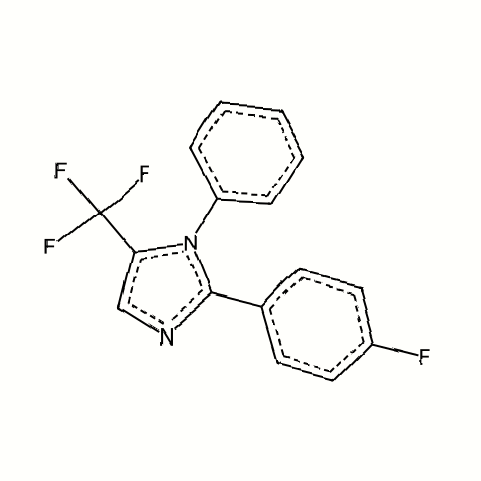 Fc1ccc(-c2ncc(C(F)(F)F)n2-c2ccccc2)cc1